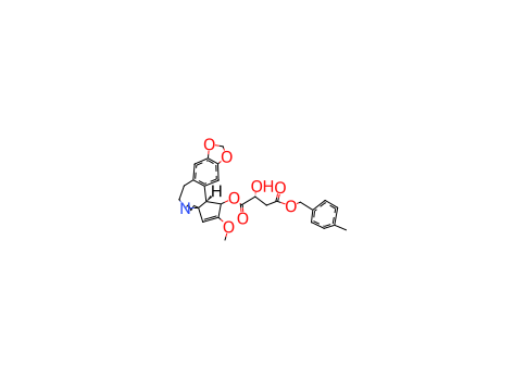 COC1=CC23CCCN2CCc2cc4c(cc2[C@@H]3C1OC(=O)[C@H](O)CC(=O)OCc1ccc(C)cc1)OCO4